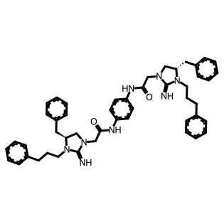 N=C1N(CC(=O)Nc2ccc(NC(=O)CN3C[C@H](Cc4ccccc4)N(CCCc4ccccc4)C3=N)cc2)C[C@H](Cc2ccccc2)N1CCCc1ccccc1